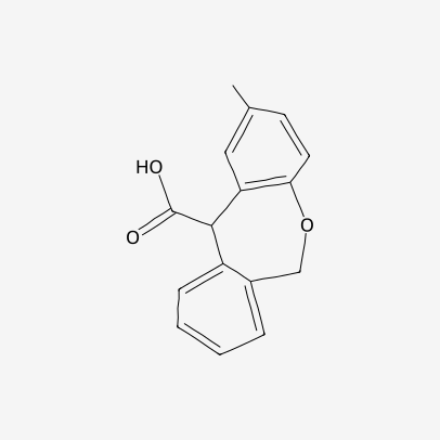 Cc1ccc2c(c1)C(C(=O)O)c1ccccc1CO2